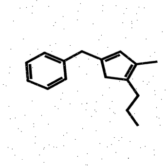 CCCC1=C(C)C=C(Cc2ccccc2)C1